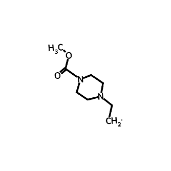 [CH2]CN1CCN(C(=O)OC)CC1